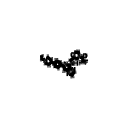 CCN1CCC(c2ccc(-c3cc4nccnc4c(NCC4CN(C(=O)C(F)F)CCO4)n3)cc2)CC1